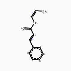 C/C=C\OC(=O)/C=C/c1ccccc1